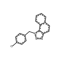 Clc1ccc(Cn2nnc3ccc4ccccc4c32)cc1